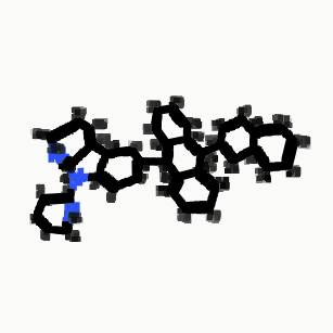 c1ccc(-n2c3ccc(-c4c5ccccc5c(-c5ccc6ccccc6c5)c5ccccc45)cc3c3cccnc32)nc1